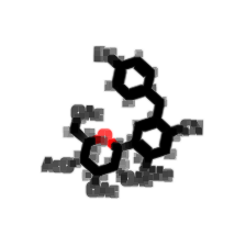 CCc1ccc(Cc2cc([C@@H]3O[C@H](COC(C)=O)[C@@H](OC(C)=O)[C@H](OC(C)=O)[C@H]3OC(C)=O)c(SC)cc2C#N)cc1